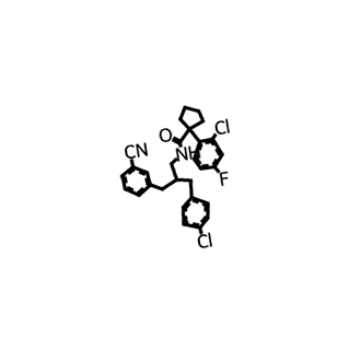 N#Cc1cccc(CC(CNC(=O)C2(c3ccc(F)cc3Cl)CCCC2)Cc2ccc(Cl)cc2)c1